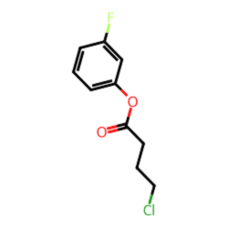 O=C(CCCCl)Oc1cccc(F)c1